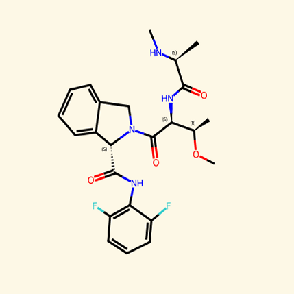 CN[C@@H](C)C(=O)N[C@H](C(=O)N1Cc2ccccc2[C@H]1C(=O)Nc1c(F)cccc1F)[C@@H](C)OC